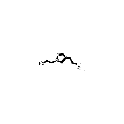 COCCc1cnn(CCO)c1